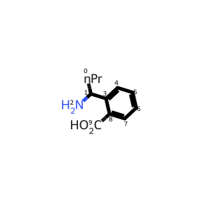 CCCC(N)c1ccccc1C(=O)O